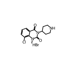 Br.Cn1c(=O)n(C2CCNCC2)c(=O)c2cccc(Cl)c21